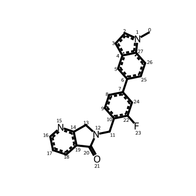 Cn1ccc2cc(-c3ccc(CN4Cc5ncccc5C4=O)c(F)c3)ccc21